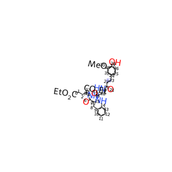 CCOC(=O)CC[C@@H](NC(=O)[C@H](Cc1ccccc1)NC(=O)CNC(=O)/C=C/c1ccc(O)c(OC)c1)C(=O)OCC